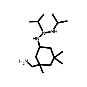 CC(C)NN(NC1CC(C)(C)CC(C)(CN)C1)C(C)C